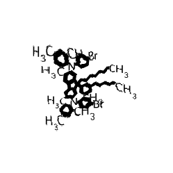 CCCCCCCCC1(c2cc(C)cc(CCCCCC)c2)c2cc(N(c3ccc(Br)cc3)c3c(C)cc(C)cc3C)ccc2-c2ccc(N(c3ccc(Br)cc3)c3c(C)cc(C)cc3C)cc21